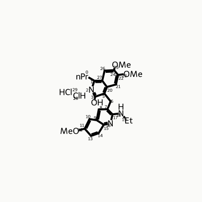 CCCc1nc(O)c(Cc2cc3cc(OC)ccc3nc2NCC)c2cc(OC)c(OC)cc12.Cl.Cl